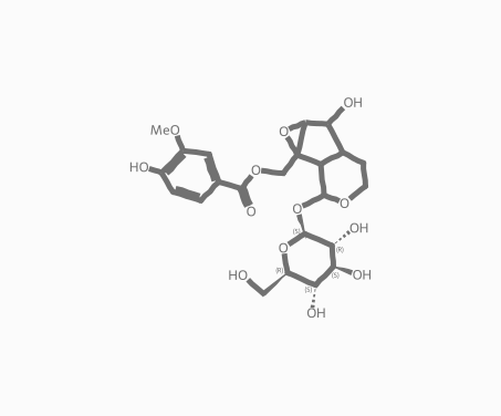 COc1cc(C(=O)OCC23OC2C(O)C2CCOC(O[C@@H]4O[C@H](CO)[C@@H](O)[C@H](O)[C@H]4O)C23)ccc1O